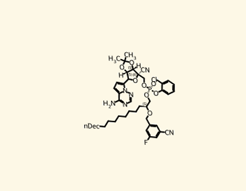 CCCCCCCCCCCCCCCCCC[C@@H](COP(=O)(OC[C@@]1(C#N)OC(c2ccc3c(N)ncnn23)[C@@H]2OC(C)(C)O[C@@H]21)Oc1ccccc1Cl)OCc1cc(F)cc(C#N)c1